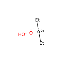 C[CH2][Zr+2][CH2]C.[OH-].[OH-]